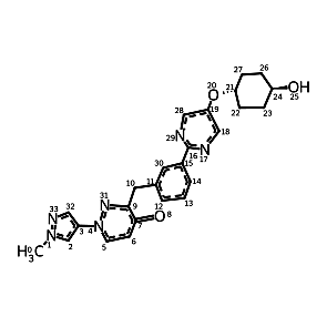 Cn1cc(-n2ccc(=O)c(Cc3cccc(-c4ncc(O[C@H]5CC[C@H](O)CC5)cn4)c3)n2)cn1